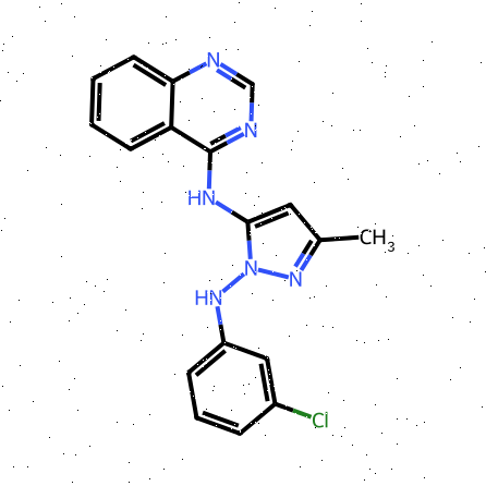 Cc1cc(Nc2ncnc3ccccc23)n(Nc2cccc(Cl)c2)n1